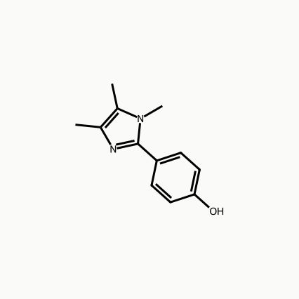 Cc1nc(-c2ccc(O)cc2)n(C)c1C